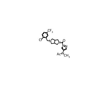 CC(=O)N(C)c1cnn(C(=O)N2CC3CN(Cc4cc(C(F)(F)F)ccc4Cl)CC3C2)c1